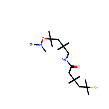 CC(C)N(C)OC(C)(C)CC(C)(C)CNC(=O)CC(C)(C)CC(C)(C)S